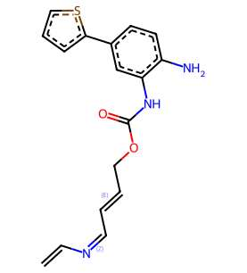 C=C/N=C\C=C\COC(=O)Nc1cc(-c2cccs2)ccc1N